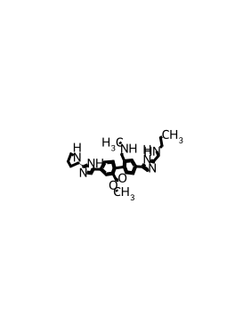 CCCNCc1ncc(-c2ccc(-c3ccc(-c4cnc([C@@H]5CCCN5)[nH]4)cc3C(=O)OC)c(CNC)c2)[nH]1